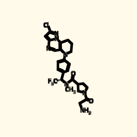 CN(C(=O)C1CCN(C(=O)CN)C1)[C@@H](c1ccc(N2CCCc3c2cnc2cc(Cl)nn32)cc1)C(F)(F)F